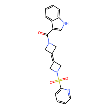 O=C(c1c[nH]c2ccccc12)N1CC(=C2CN(S(=O)(=O)c3ccccn3)C2)C1